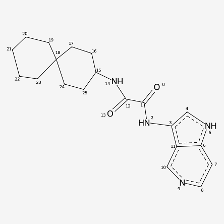 O=C(Nc1c[nH]c2ccncc12)C(=O)NC1CCC2(CCCCC2)CC1